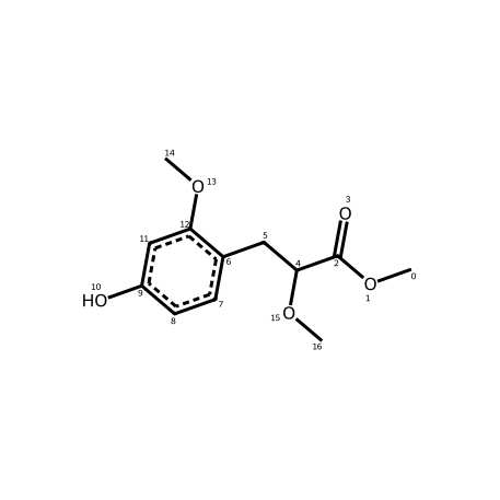 COC(=O)C(Cc1ccc(O)cc1OC)OC